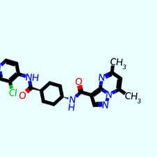 Cc1cc(C)n2ncc(C(=O)N[C@H]3CC[C@H](C(=O)Nc4ccncc4Cl)CC3)c2n1